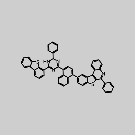 c1ccc(-c2nc3ccccc3c3c2sc2ccc(-c4ccc(C5=NC(c6ccccc6)NC(c6cccc7c6sc6ccccc67)=N5)c5ccccc45)cc23)cc1